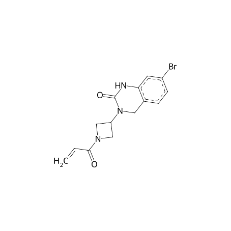 C=CC(=O)N1CC(N2Cc3ccc(Br)cc3NC2=O)C1